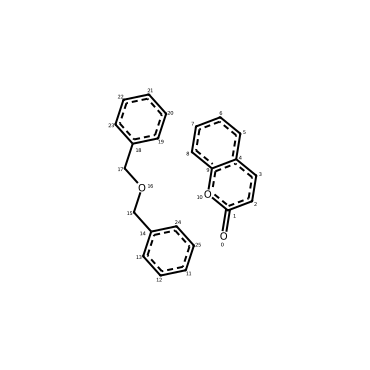 O=c1ccc2ccccc2o1.c1ccc(COCc2ccccc2)cc1